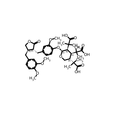 COc1ccc(C[C@H]2COC(=O)[C@@H]2Cc2ccc(O[C@@H]3OC[C@@H](C(C)(C)C(=O)O)[C@H](C(C)(C)C(=O)O)[C@@H]3C(C)(C)C(=O)O)c(OC)c2)cc1OC